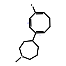 CN1CCCC(C2=C/CCC=C(F)/C=C\2)CC1